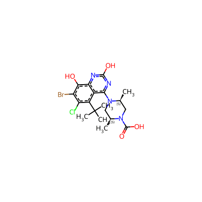 C[C@H]1CN(c2nc(O)nc3c(O)c(Br)c(Cl)c(C(C)(C)C)c23)[C@@H](C)CN1C(=O)O